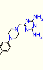 Cc1ccc(N2CCN(Cc3nc(N)nc(N)n3)CC2)cc1